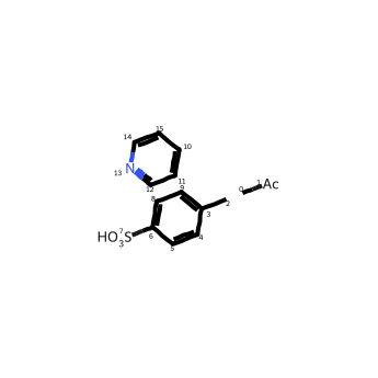 CC(C)=O.Cc1ccc(S(=O)(=O)O)cc1.c1ccncc1